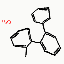 Cc1ccccc1-c1ccccc1-c1ccccc1.O